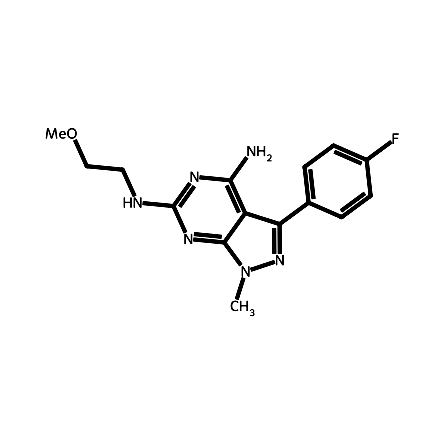 COCCNc1nc(N)c2c(-c3ccc(F)cc3)nn(C)c2n1